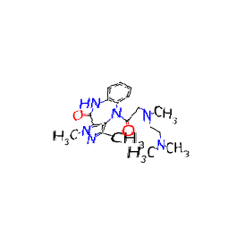 Cc1nn(C)c2c1N(C(=O)CN(C)CCN(C)C)c1ccccc1NC2=O